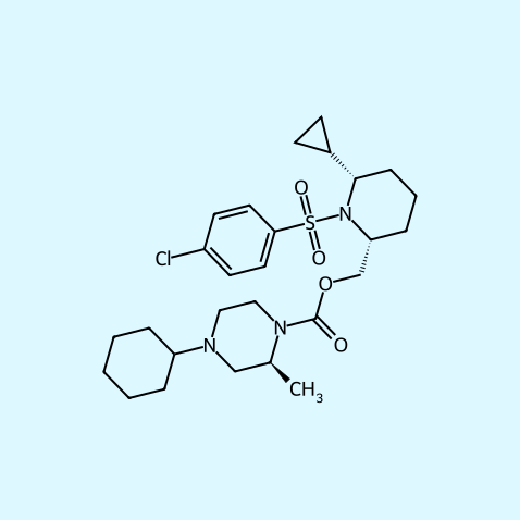 C[C@H]1CN(C2CCCCC2)CCN1C(=O)OC[C@H]1CCC[C@@H](C2CC2)N1S(=O)(=O)c1ccc(Cl)cc1